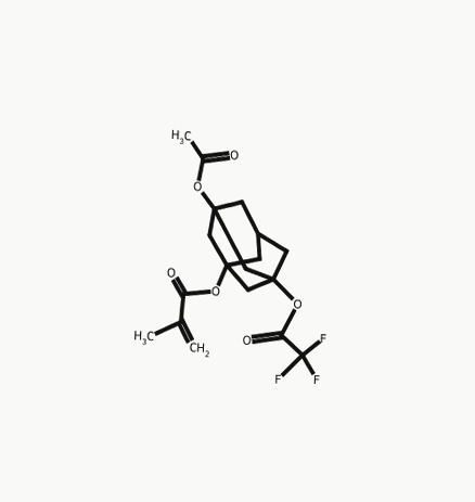 C=C(C)C(=O)OC12CC3CC(OC(C)=O)(C1)CC(OC(=O)C(F)(F)F)(C3)C2